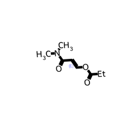 CCC(=O)O/C=C/C(=O)N(C)C